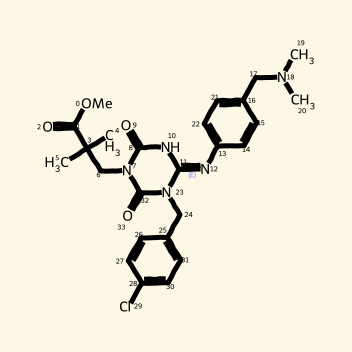 COC(=O)C(C)(C)Cn1c(=O)[nH]/c(=N\c2ccc(CN(C)C)cc2)n(Cc2ccc(Cl)cc2)c1=O